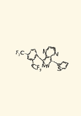 FC(F)(F)c1ccc(-c2nnc(-c3cccs3)c3nccnc23)c(C(F)(F)F)c1